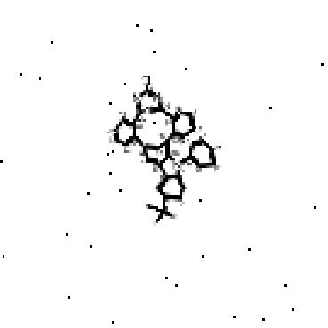 CC(C)(C)c1ccc2c(c1)c1cc3cc(c4ccccc4c4nc(Cl)nc(n4)c4ccccc34)c1n2-c1ccccc1